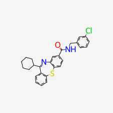 O=C(NCc1cccc(Cl)c1)c1ccc2c(c1)N=C(C1CCCCC1)c1ccccc1S2